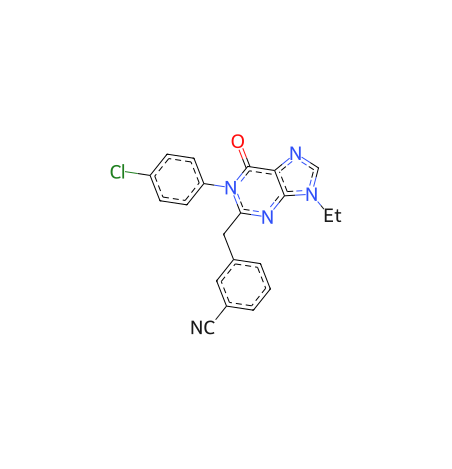 CCn1cnc2c(=O)n(-c3ccc(Cl)cc3)c(Cc3cccc(C#N)c3)nc21